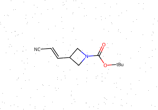 CC(C)(C)OC(=O)N1CC(/C=C/C#N)C1